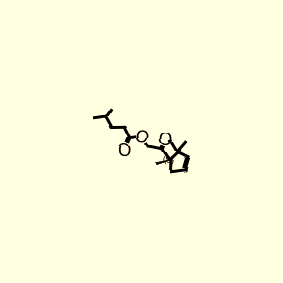 CC(C)CCC(=O)OCC(=O)[C@@]1(C)CC=CC1(C)C